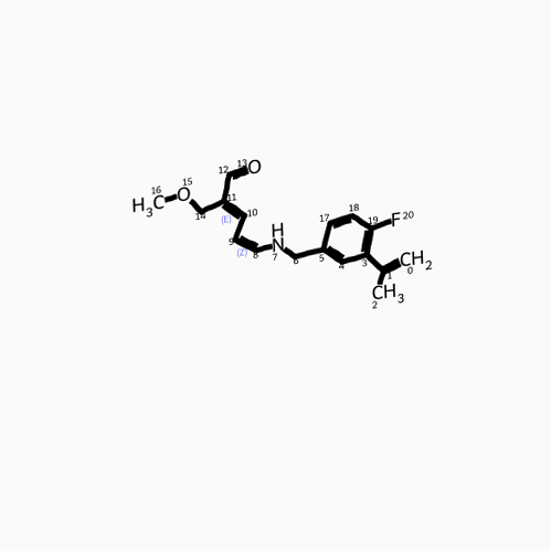 C=C(C)c1cc(CN/C=C\C=C(\C=O)COC)ccc1F